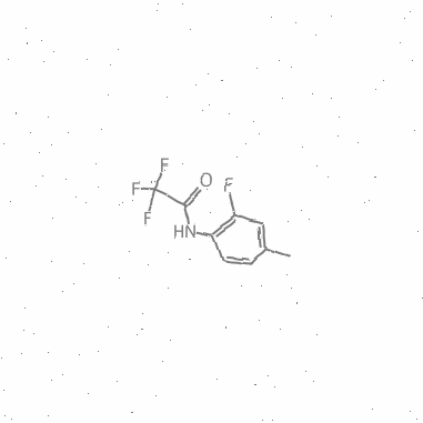 Cc1ccc(NC(=O)C(F)(F)F)c(F)c1